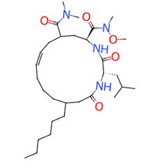 CCCCCCC1CCC/C=C\CC(C(=O)N(C)C)C[C@@H](C(=O)N(C)OC)NC(=O)[C@H](CC(C)C)NC(=O)C1